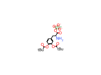 CC(C)(C)C(=O)Oc1ccc(C[C@H](N)C(=O)O[Cl+3]([O-])([O-])[O-])cc1OC(=O)C(C)(C)C